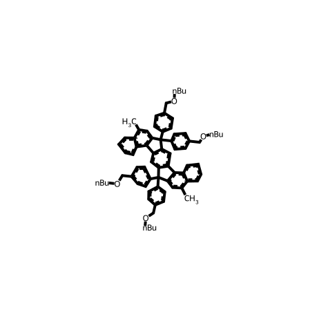 CCCCOCc1ccc(C2(c3ccc(COCCCC)cc3)c3cc4c(cc3-c3c2cc(C)c2ccccc32)C(c2ccc(COCCCC)cc2)(c2ccc(COCCCC)cc2)c2cc(C)c3ccccc3c2-4)cc1